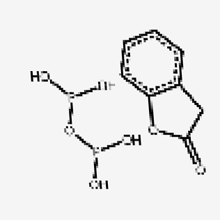 O=C1Cc2ccccc2O1.OP(O)OP(O)O